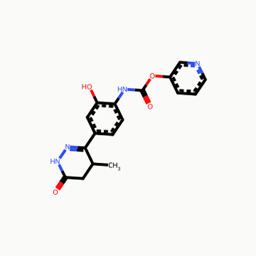 CC1CC(=O)NN=C1c1ccc(NC(=O)Oc2cccnc2)c(O)c1